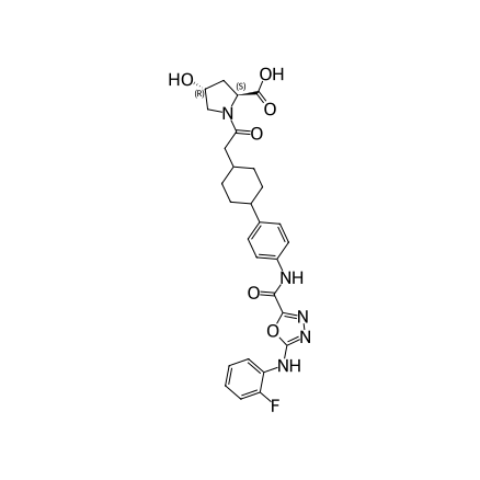 O=C(Nc1ccc(C2CCC(CC(=O)N3C[C@H](O)C[C@H]3C(=O)O)CC2)cc1)c1nnc(Nc2ccccc2F)o1